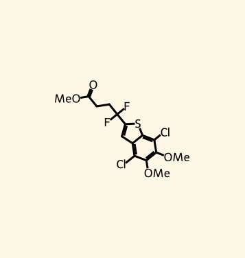 COC(=O)CCC(F)(F)c1cc2c(Cl)c(OC)c(OC)c(Cl)c2s1